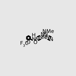 CNc1nc(N2CCN(C)CC2)nc(N2CCN(C(=O)NCc3ccccc3OC(F)(F)F)CC2)n1